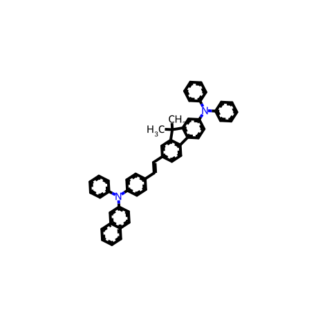 CC1(C)c2cc(/C=C/c3ccc(N(c4ccccc4)c4ccc5ccccc5c4)cc3)ccc2-c2ccc(N(c3ccccc3)c3ccccc3)cc21